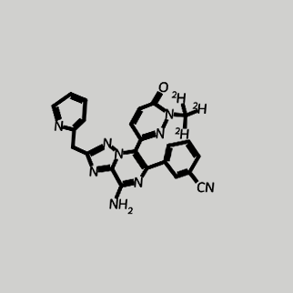 [2H]C([2H])([2H])n1nc(-c2c(-c3cccc(C#N)c3)nc(N)c3nc(Cc4ccccn4)nn23)ccc1=O